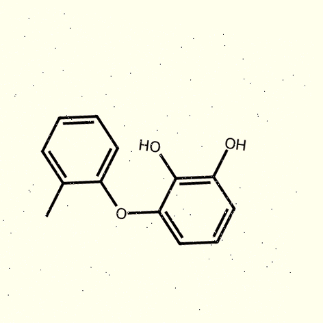 Cc1ccccc1Oc1cccc(O)c1O